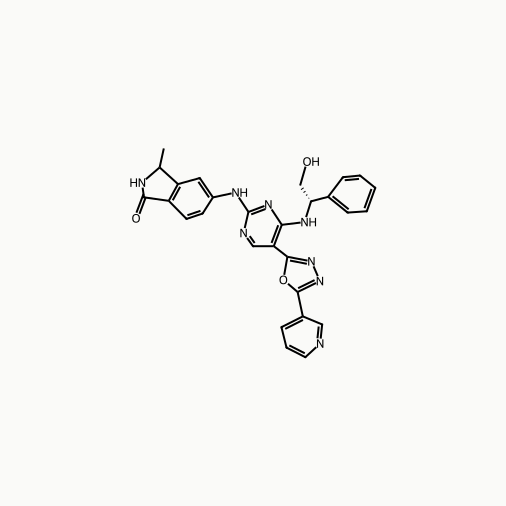 CC1NC(=O)c2ccc(Nc3ncc(-c4nnc(-c5cccnc5)o4)c(N[C@H](CO)c4ccccc4)n3)cc21